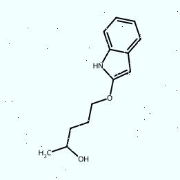 CC(O)CCCOc1cc2ccccc2[nH]1